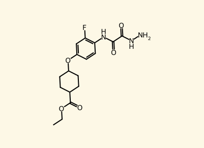 CCOC(=O)C1CCC(Oc2ccc(NC(=O)C(=O)NN)c(F)c2)CC1